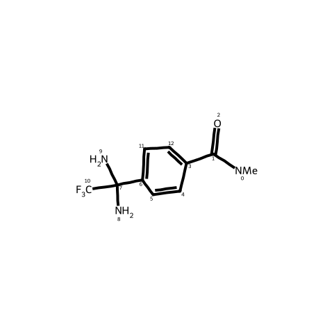 CNC(=O)c1ccc(C(N)(N)C(F)(F)F)cc1